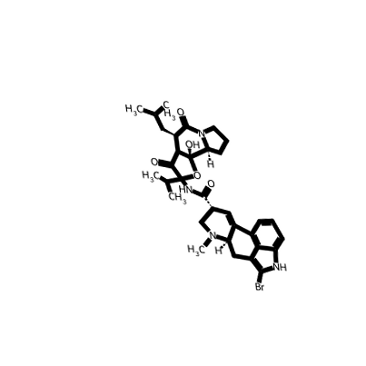 CC(C)C[C@H]1C(=O)N2CCC[C@H]2[C@]2(O)OC(NC(=O)[C@@H]3C=C4c5cccc6[nH]c(Br)c(c56)C[C@H]4N(C)C3)(C(C)C)C(=O)C12